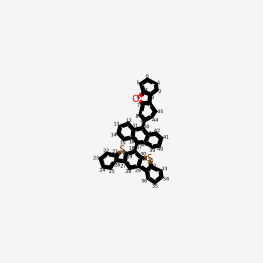 c1ccc2c(c1)oc1cc(-c3c4ccccc4c(-c4c5sc6ccccc6c5cc5c4sc4ccccc45)c4ccccc34)ccc12